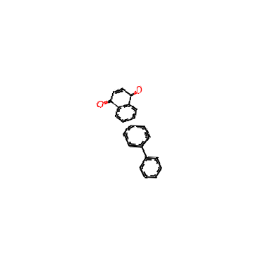 O=C1C=CC(=O)c2ccccc21.c1ccc(-c2ccccc2)cc1